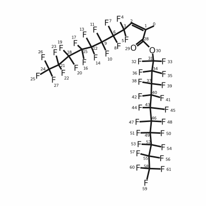 CC(=CC(F)(F)C(F)(F)C(F)(F)C(F)(F)C(F)(F)C(F)(F)C(F)(F)C(F)(F)F)C(=O)OC(F)(F)C(F)(F)C(F)(F)C(F)(F)C(F)(F)C(F)(F)C(F)(F)C(F)(F)C(F)(F)C(F)(F)F